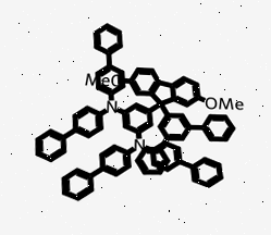 COc1ccc2c(c1)C(c1cc(-c3ccccc3)cc(-c3ccccc3)c1)(c1cc(N(c3ccc(-c4ccccc4)cc3)c3ccc(-c4ccccc4)cc3)cc(N(c3ccc(-c4ccccc4)cc3)c3ccc(-c4ccccc4)cc3)c1)c1cc(OC)ccc1-2